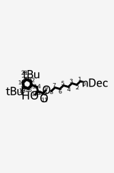 CCCCCCCCCCCCCCCCCCOC(=O)C(O)Cc1cc(C(C)(C)C)cc(C(C)(C)C)c1